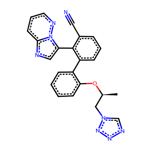 C[C@@H](Cn1cnnn1)Oc1ccccc1-c1cccc(C#N)c1-c1cnc2cccnn12